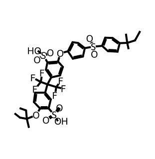 CCC(C)(CC)Oc1ccc(C(c2ccc(Oc3ccc(S(=O)(=O)c4ccc(C(C)(C)CC)cc4)cc3)c(S(=O)(=O)O)c2)(C(F)(F)F)C(F)(F)F)cc1S(=O)(=O)O